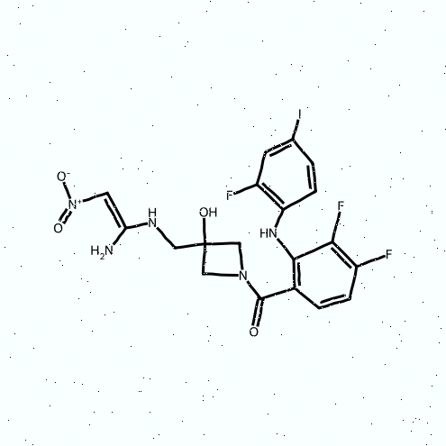 NC(=C[N+](=O)[O-])NCC1(O)CN(C(=O)c2ccc(F)c(F)c2Nc2ccc(I)cc2F)C1